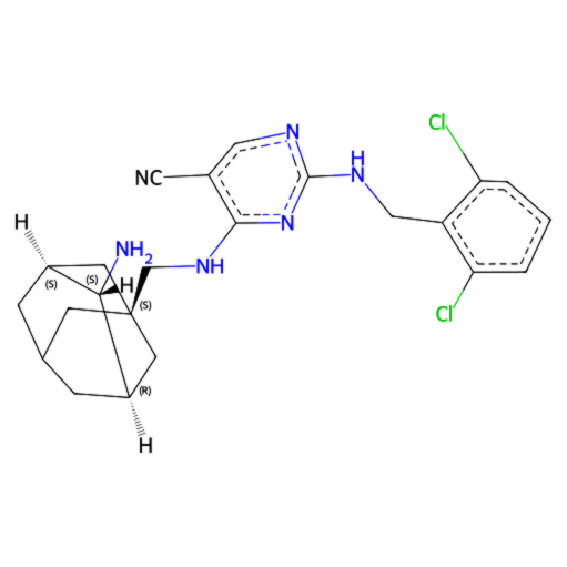 N#Cc1cnc(NCc2c(Cl)cccc2Cl)nc1NC[C@]12CC3C[C@H](C1)[C@@H](N)[C@@H](C3)C2